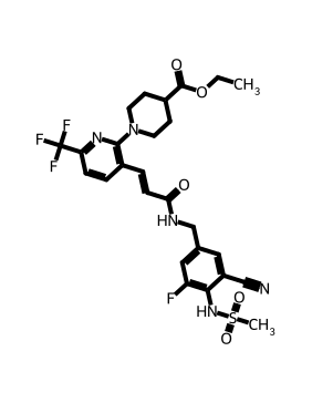 CCOC(=O)C1CCN(c2nc(C(F)(F)F)ccc2C=CC(=O)NCc2cc(F)c(NS(C)(=O)=O)c(C#N)c2)CC1